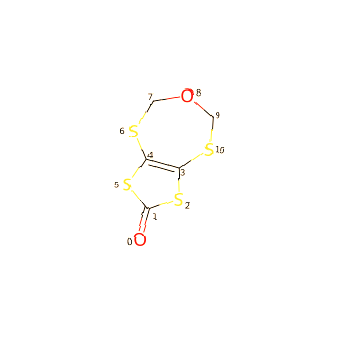 O=c1sc2c(s1)SCOCS2